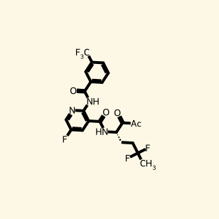 CC(=O)C(=O)[C@H](CCC(C)(F)F)NC(=O)c1cc(F)cnc1NC(=O)c1cccc(C(F)(F)F)c1